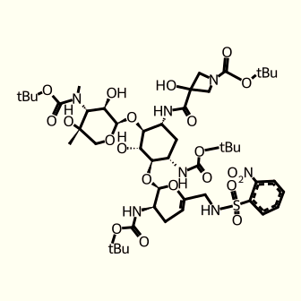 CN(C(=O)OC(C)(C)C)[C@@H]1[C@@H](O)[C@@H](O[C@@H]2[C@@H](O)[C@H](O[C@H]3OC(CNS(=O)(=O)c4ccccc4[N+](=O)[O-])=CC[C@H]3NC(=O)OC(C)(C)C)[C@@H](NC(=O)OC(C)(C)C)C[C@H]2NC(=O)C2(O)CN(C(=O)OC(C)(C)C)C2)OC[C@]1(C)O